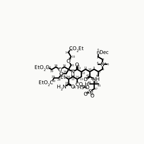 CCCCCCCCCCCC[N+](C)(C)CC(C)CC(CC(CC(CC(CC)C(N)=O)C(=O)O)C(=O)NC(COCCC(=O)OCC)(COCCC(=O)OCC)COCCC(=O)OCC)C(=O)NC(C)(C)CS(=O)(=O)OS